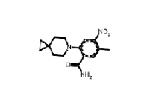 Cc1cc(C(N)=O)c(N2CCC3(CC2)CC3)cc1[N+](=O)[O-]